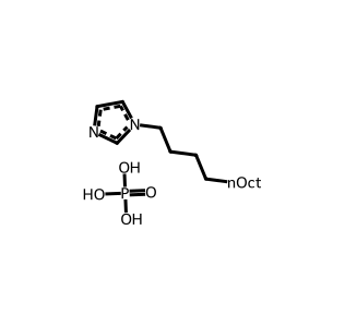 CCCCCCCCCCCCn1ccnc1.O=P(O)(O)O